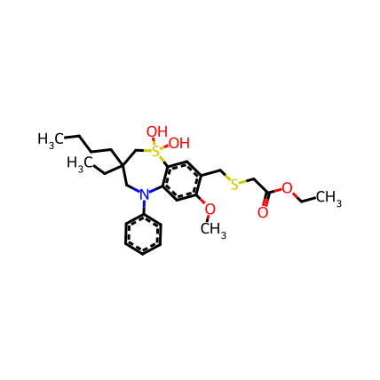 CCCCC1(CC)CN(c2ccccc2)c2cc(OC)c(CSCC(=O)OCC)cc2S(O)(O)C1